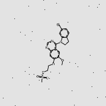 COc1cc2c(N3CCc4ccc(Cl)cc43)ncnc2cc1OCCOS(C)(=O)=O